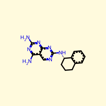 Nc1nc(N)c2cnc(N[C@H]3CCCc4ccccc43)nc2n1